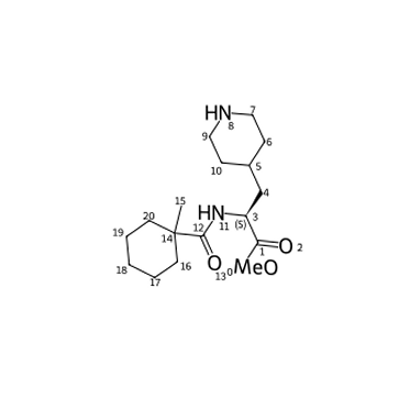 COC(=O)[C@H](CC1CCNCC1)NC(=O)C1(C)CCCCC1